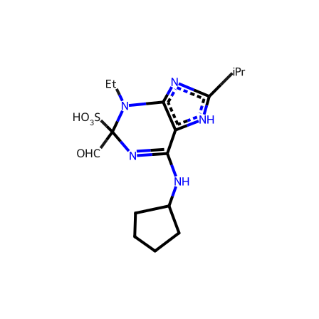 CCN1c2nc(C(C)C)[nH]c2C(NC2CCCC2)=NC1(C=O)S(=O)(=O)O